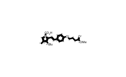 COC(=O)CCCOc1ccc(C=Cc2c(C(C)(C)C)c(C)cn2C(=O)O)cc1